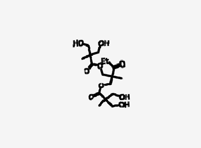 CCC(=O)C(C)(COC(=O)C(C)(CO)CO)COC(=O)C(C)(CO)CO